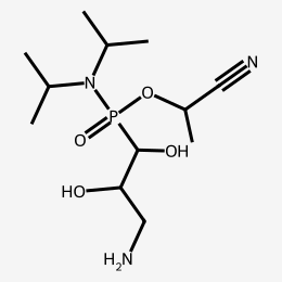 CC(C#N)OP(=O)(C(O)C(O)CN)N(C(C)C)C(C)C